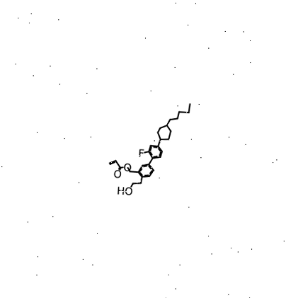 C=CC(=O)OCc1cc(-c2ccc(C3CCC(CCCCC)CC3)cc2F)ccc1CCO